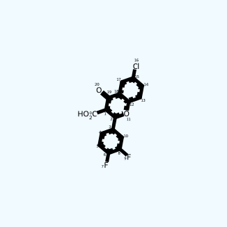 O=C(O)c1c(-c2ccc(F)c(F)c2)oc2ccc(Cl)cc2c1=O